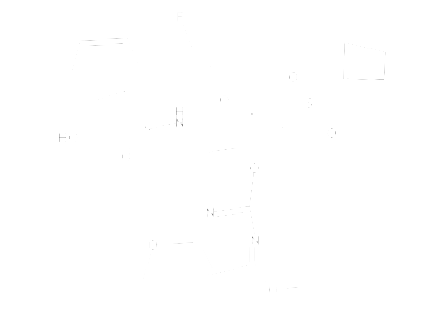 COc1cc(OC)nc(OC(CNC(=O)c2ccccc2O)C(C)(CS(=O)(=O)C2CCC2)OCCF)n1